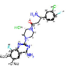 COc1cc2c(N)nc(N3CCN(C(=O)CC(N)c4ccc(F)c(Cl)c4)CC3)nc2c(F)c1OC.Cl